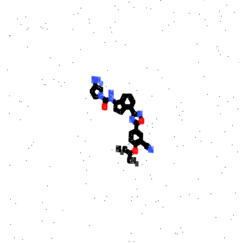 CC(C)Oc1ccc(-c2nc(-c3cccc4c3CCC4NC(=O)N3CCC(N)C3)no2)cc1C#N